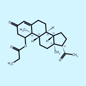 CCC(=O)OC1CC(=O)C=C2CC[C@H]3[C@@H]4CC[C@H](C(C)=O)[C@@]4(C)CC[C@@H]3[C@]21C